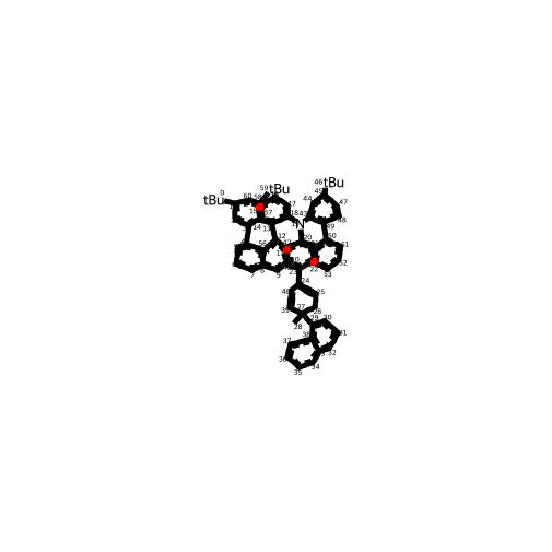 CC(C)(C)c1cc(-c2cccc3cccc(-c4ccccc4N(c4ccc(C5=CCC(C)(c6cccc7ccccc67)C=C5)cc4)c4cc(C(C)(C)C)ccc4-c4ccccc4)c23)cc(C(C)(C)C)c1